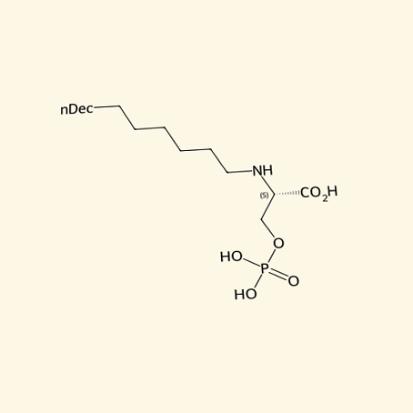 CCCCCCCCCCCCCCCCN[C@@H](COP(=O)(O)O)C(=O)O